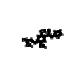 CCN(C)C=Nc1cc(C)c(C(=O)Cn2cccn2)cc1C